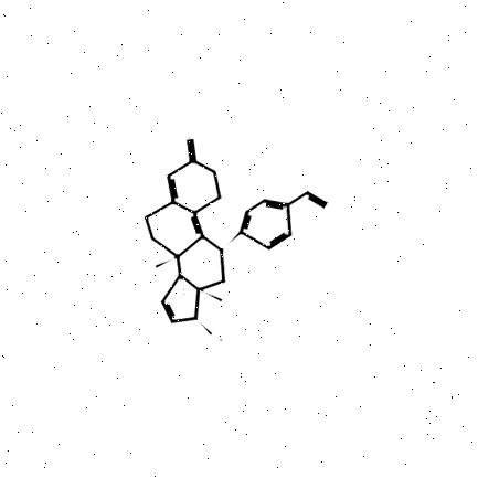 C[C@]12C[C@H](c3ccc(C=O)cc3)C3=C4CCC(=O)C=C4CC[C@H]3[C@@H]1C=C[C@@H]2O